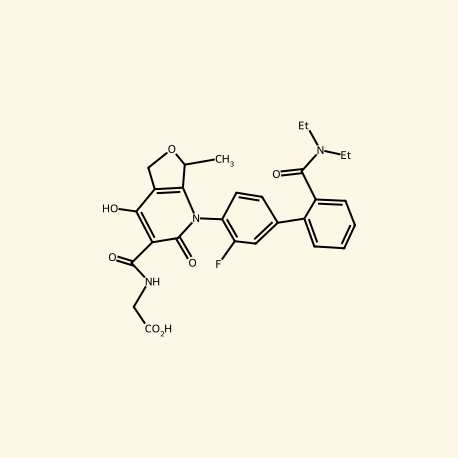 CCN(CC)C(=O)c1ccccc1-c1ccc(-n2c3c(c(O)c(C(=O)NCC(=O)O)c2=O)COC3C)c(F)c1